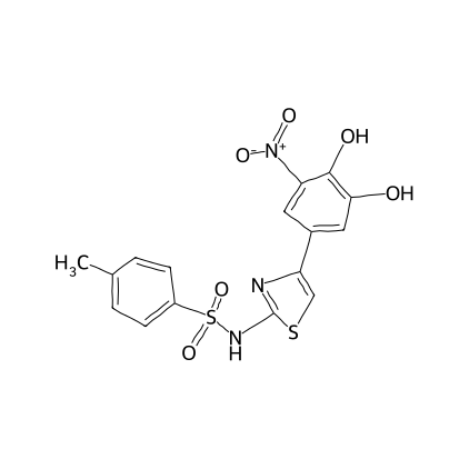 Cc1ccc(S(=O)(=O)Nc2nc(-c3cc(O)c(O)c([N+](=O)[O-])c3)cs2)cc1